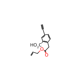 C#Cc1ccc(CC(=O)OCC=C)c(C(=O)O)c1